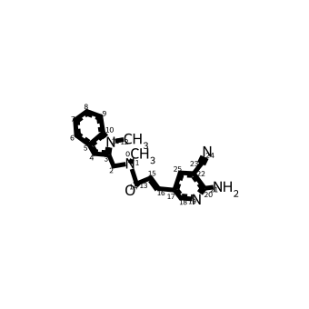 CN(Cc1cc2ccccc2n1C)C(=O)C=Cc1cnc(N)c(C#N)c1